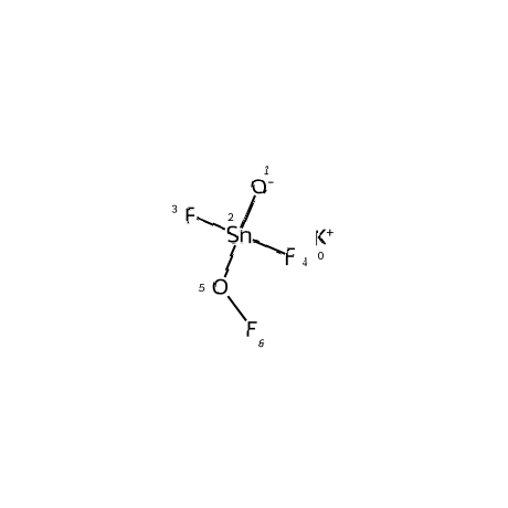 [K+].[O-][Sn]([F])([F])[O]F